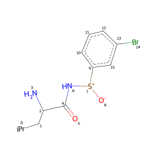 CC(C)CC(N)C(=O)N[S+]([O-])c1cccc(Br)c1